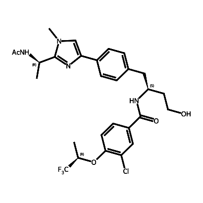 CC(=O)N[C@H](C)c1nc(-c2ccc(C[C@@H](CCO)NC(=O)c3ccc(O[C@H](C)C(F)(F)F)c(Cl)c3)cc2)cn1C